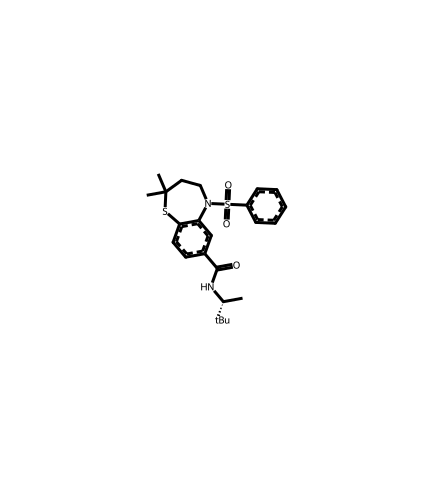 C[C@@H](NC(=O)c1ccc2c(c1)N(S(=O)(=O)c1ccccc1)CCC(C)(C)S2)C(C)(C)C